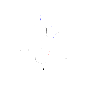 CC(=O)N[C@@H]1[C@H](Oc2nc[nH]c2C(N)=O)O[C@H](COC(C)=O)[C@@H](OC(C)=O)[C@@H]1OC(C)=O